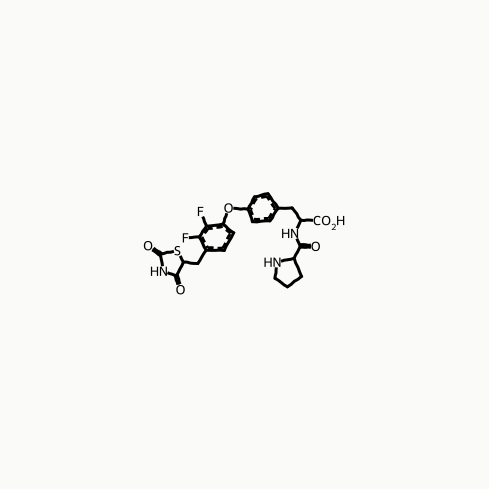 O=C1NC(=O)C(Cc2ccc(Oc3ccc(CC(NC(=O)C4CCCN4)C(=O)O)cc3)c(F)c2F)S1